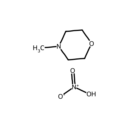 CN1CCOCC1.O=[N+]([O-])O